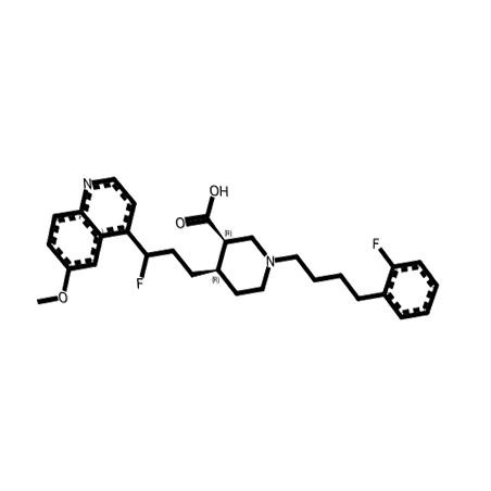 COc1ccc2nccc(C(F)CC[C@@H]3CCN(CCCCc4ccccc4F)C[C@@H]3C(=O)O)c2c1